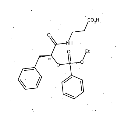 CCOP(=O)(O[C@@H](Cc1ccccc1)C(=O)NCCC(=O)O)c1ccccc1